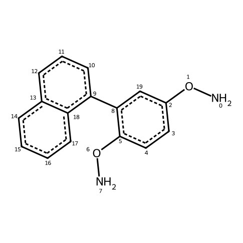 NOc1ccc(ON)c(-c2cccc3ccccc23)c1